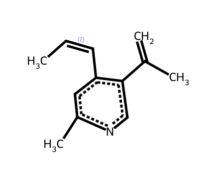 C=C(C)c1cnc(C)cc1/C=C\C